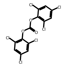 O=C(Oc1c(Cl)cc(Cl)cc1Cl)Oc1c(Cl)cc(Cl)cc1Cl